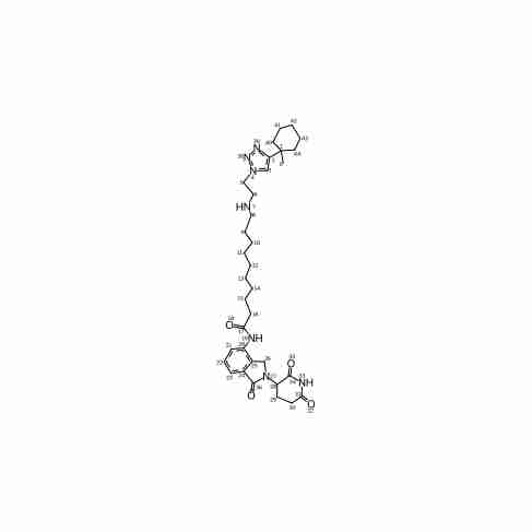 CC1(c2cn(CCNCCCCCCCCCC(=O)Nc3cccc4c3CN(C3CCC(=O)NC3=O)C4=O)nn2)CCCCC1